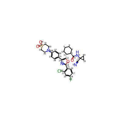 N#CC1(NC(=O)[C@@H]2CCCC[C@H]2c2oc(-c3ccc(F)cc3Cl)nc2-c2ccc(N3CCS(=O)(=O)CC3)cc2)CC1